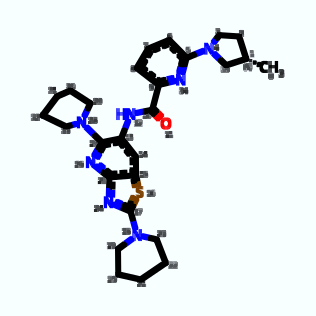 C[C@H]1CCN(c2cccc(C(=O)Nc3cc4sc(N5CCCCC5)nc4nc3N3CCCCC3)n2)C1